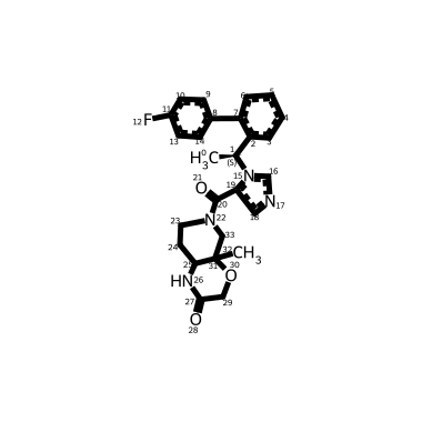 C[C@@H](c1ccccc1-c1ccc(F)cc1)n1cncc1C(=O)N1CCC2NC(=O)COC2(C)C1